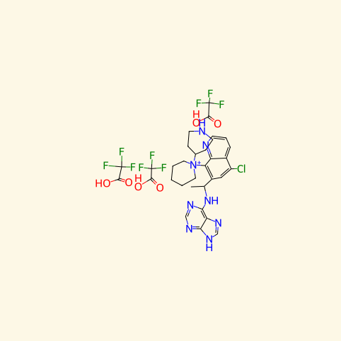 CC(Nc1ncnc2[nH]cnc12)c1cc(Cl)c2cccnc2c1[N+]1(C2CCNCC2)CCCCC1.O=C(O)C(F)(F)F.O=C(O)C(F)(F)F.O=C(O)C(F)(F)F